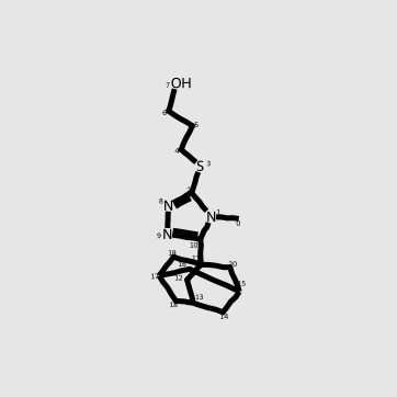 Cn1c(SCCCO)nnc1C12CC3CC(CC(C3)C1)C2